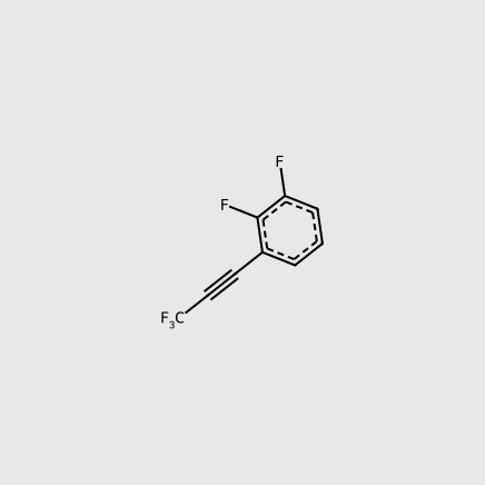 Fc1cccc(C#CC(F)(F)F)c1F